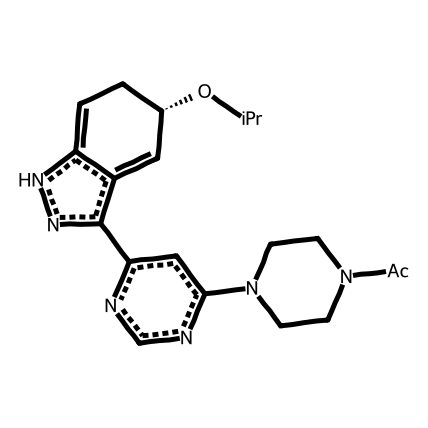 CC(=O)N1CCN(c2cc(-c3n[nH]c4c3=C[C@@H](OC(C)C)CC=4)ncn2)CC1